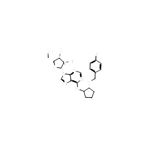 CC(C)c1ccc(CO[C@@H]2CCCC2Nc2ncnc3c2ncn3[C@@H]2O[C@H](CO)[C@@H](O)[C@H]2O)cc1